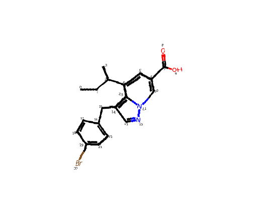 CCC(C)c1cc(C(=O)O)cn2ncc(Cc3ccc(Br)cc3)c12